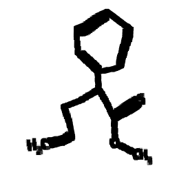 C=CCC(C(=S)OC)c1ccccc1